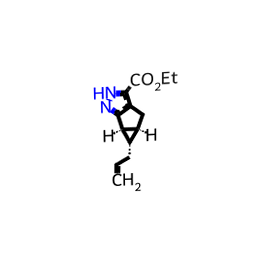 C=CC[C@H]1[C@@H]2Cc3c(n[nH]c3C(=O)OCC)[C@H]12